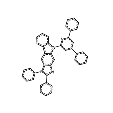 c1ccc(-c2cc(-c3ccccc3)nc(-n3c4ccccc4c4cc5c(cc43)nc(-c3ccccc3)n5-c3ccccc3)c2)cc1